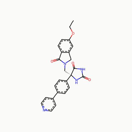 CCOc1ccc2c(c1)CN(C[C@@]1(c3ccc(-c4ccncc4)cc3)NC(=O)NC1=O)C2=O